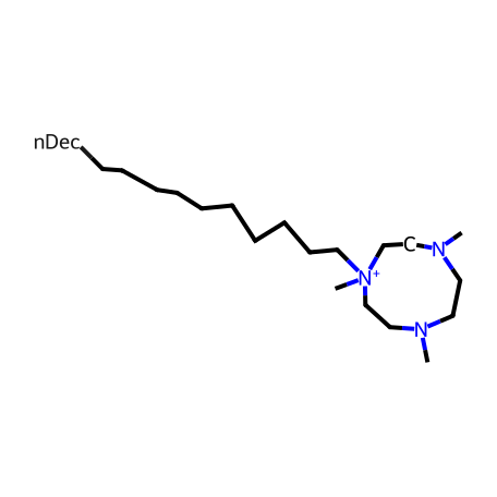 CCCCCCCCCCCCCCCCCCCC[N+]1(C)CCN(C)CCN(C)CC1